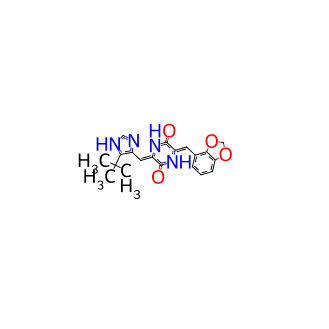 CC(C)(C)c1[nH]cnc1/C=c1\[nH]c(=O)/c(=C/c2cccc3c2OCO3)[nH]c1=O